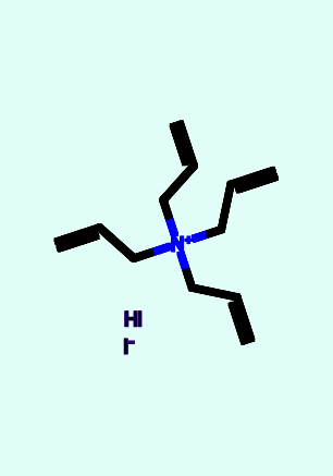 C=CC[N+](CC=C)(CC=C)CC=C.I.[I-]